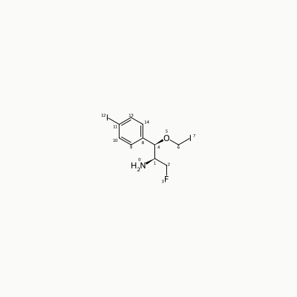 N[C@H](CF)[C@H](OCI)c1ccc(I)cc1